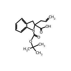 C=CCC1(C(=O)O)Cc2ccccc2N1C(=O)OC(C)(C)C